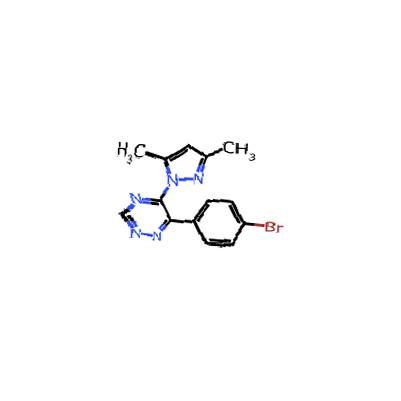 Cc1cc(C)n(-c2ncnnc2-c2ccc(Br)cc2)n1